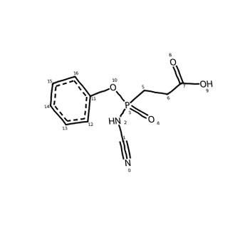 N#CNP(=O)(CCC(=O)O)Oc1ccccc1